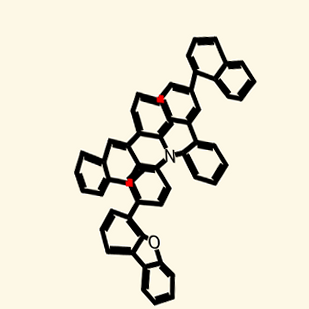 c1cc(-c2ccccc2N(c2ccc(-c3cccc4c3oc3ccccc34)cc2)c2ccccc2-c2ccc3ccccc3c2)cc(-c2cccc3ccccc23)c1